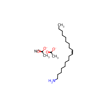 CC(=O)[O-].CC(=O)[O-].CCCCCCCC/C=C\CCCCCCCCN.[Ni+2]